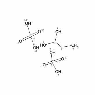 CCC(O)O.O=S(=O)(O)O.O=S(=O)(O)O